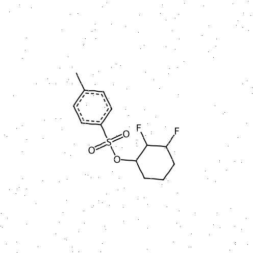 Cc1ccc(S(=O)(=O)OC2CCCC(F)C2F)cc1